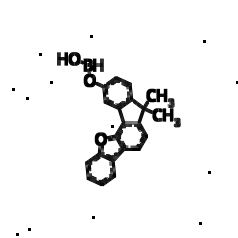 CC1(C)c2ccc(OBO)cc2-c2c1ccc1c2oc2ccccc21